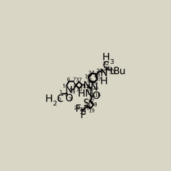 C=CC(=O)N1CCC[C@]2(C1)C[C@H](n1c(NC(=O)c3ccc(C(F)F)s3)nc3cc(CN[C@@H](C)C(C)(C)C)ccc31)C2